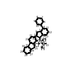 CC1=Cc2c(-c3ccccc3)cccc2[CH]1[Zr]([Cl])([Cl])([c]1cccc2c1Cc1ccccc1-2)[SiH](C)C